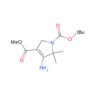 COC(=O)C1=C(N)C(C)(C)N(C(=O)OC(C)(C)C)C1